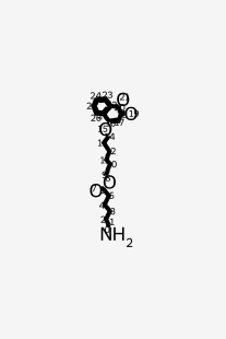 NCCCCCC(=O)OCCCCCCOC1=CC(=O)C(=O)c2ccccc21